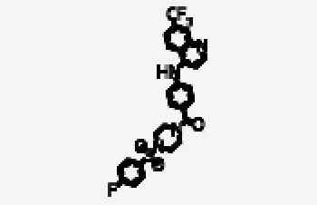 O=C(c1ccc(Nc2ccnc3cc(C(F)(F)F)ccc23)cc1)N1CCN(S(=O)(=O)c2ccc(F)cc2)CC1